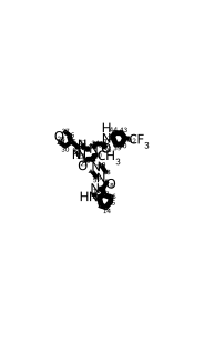 Cc1c(N2CCN(C(=O)c3n[nH]c4ccccc34)CC2)c(=O)n2nc(C3=CCOCC3)nc2n1CC(=O)Nc1ccc(C(F)(F)F)cc1